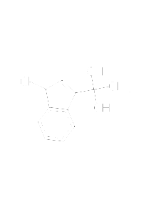 CC(C)(C)C1=CC(Cl)c2ccccc21